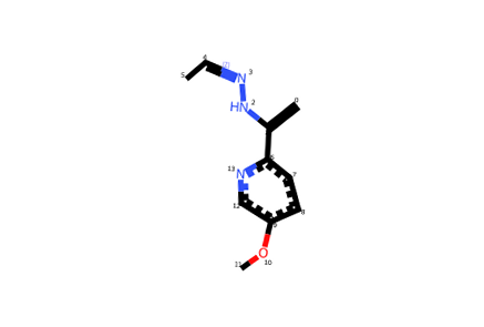 C=C(N/N=C\C)c1ccc(OC)cn1